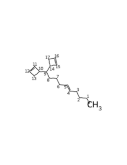 CCCCC=CCCCC(C1C=CC1)C1C=CC1